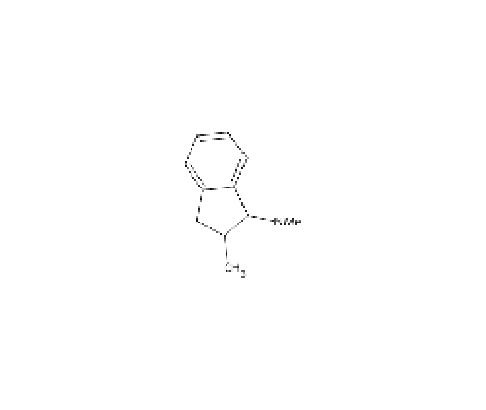 CNC1c2ccccc2CC1C